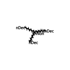 CCCCCCCCCCCCCCCCC[N+](CCCCCCCCC)(CCCCCCCCCCCCCCCCC)CCCCCCCCCCCCCCCCC